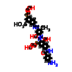 Cc1cc(N=Nc2c(SOOO)cc3cc(NC(=O)c4ccc(N)cc4)ccc3c2O)c(O)cc1N=Nc1ccc2cc(SOOO)cc(S(=O)(=O)O)c2c1